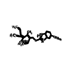 C=C/C(C)=C(OC)\C(C)=C(/C=C)CSc1nc2cc(OC)ccc2[nH]1